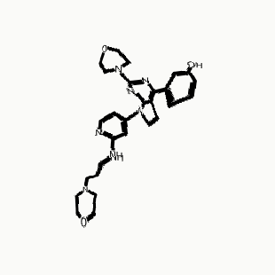 Oc1cccc(-c2nc(N3CCOCC3)nc3c2CCN3c2ccnc(NCCCN3CCOCC3)c2)c1